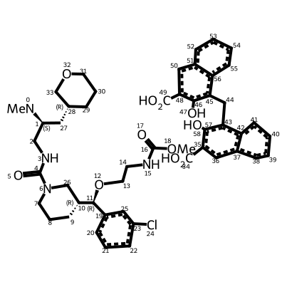 CN[C@H](CNC(=O)N1CCC[C@@H]([C@@H](OCCNC(=O)OC)c2cccc(Cl)c2)C1)C[C@H]1CCCOC1.O=C(O)c1cc2ccccc2c(Cc2c(O)c(C(=O)O)cc3ccccc23)c1O